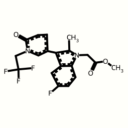 COC(=O)Cn1c(C)c(-c2ccc(=O)n(CC(F)(F)F)c2)c2cc(F)ccc21